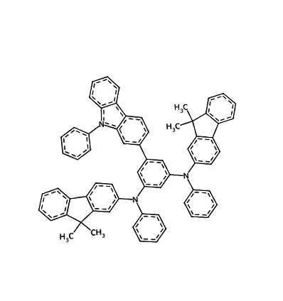 CC1(C)c2ccccc2-c2ccc(N(c3ccccc3)c3cc(-c4ccc5c6ccccc6n(-c6ccccc6)c5c4)cc(N(c4ccccc4)c4ccc5c(c4)C(C)(C)c4ccccc4-5)c3)cc21